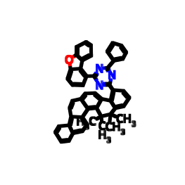 CC1(C)c2cccc(-c3nc(-c4ccccc4)nc(-c4cccc5oc6ccccc6c45)n3)c2-c2ccc3ccc4c5ccccc5ccc4c3c2C1(C)C